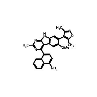 COc1cc2c(cc1-c1c(C)noc1C)[nH]c1nc(C)nc(-c3ccc(N)c4ccccc34)c12